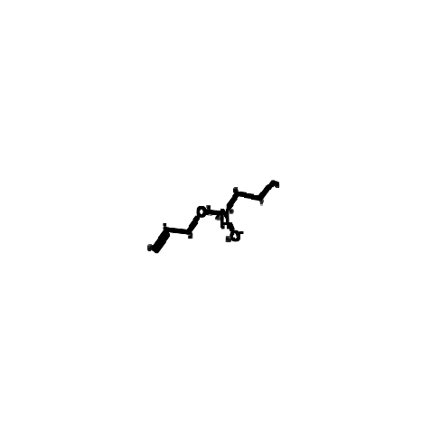 C=CCO[NH+]([O-])CCC